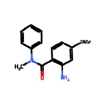 COc1ccc(C(=O)N(C)c2ccccc2)c(N)c1